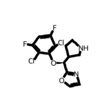 Fc1cc(F)c(Cl)c(O[C@H](c2ncco2)C2CCNC2)c1Cl